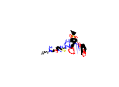 CC(C)NCCOc1ccc2nc(NC(=O)/C(=N/O[C@@H]3CCOC3)c3ccc(S(=O)(=O)C4CC4)cc3)sc2n1